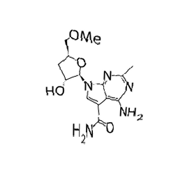 COC[C@@H]1C[C@@H](O)[C@H](n2cc(C(N)=O)c3c(N)nc(C)nc32)O1